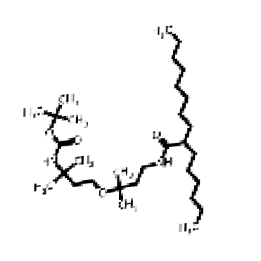 CCCCCCCCC(CCCCCC)C(=O)NCCC(C)(C)OCCC(C)(C)NC(=O)OC(C)(C)C